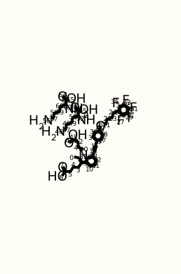 Cc1c(CCCC(=O)O)c2cccc(C#Cc3ccc(OCCCCc4c(F)c(F)c(F)c(F)c4F)cc3)c2n1CCCC(=O)O.NCCCCC(N)C(=O)O.NCCCCC(N)C(=O)O